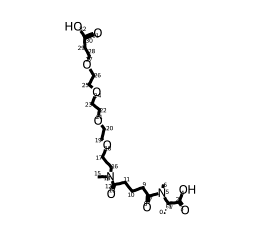 C[C@@H](C(=O)O)N(C)C(=O)CCCC(=O)N(C)CCOCCOCCOCCOCCC(=O)O